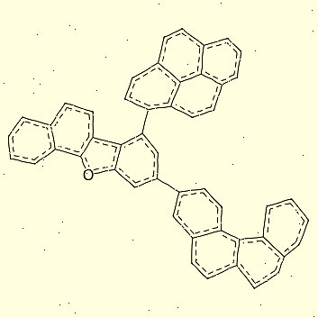 c1ccc2c(c1)ccc1c2oc2cc(-c3ccc4c(ccc5ccc6ccccc6c54)c3)cc(-c3ccc4ccc5cccc6ccc3c4c56)c21